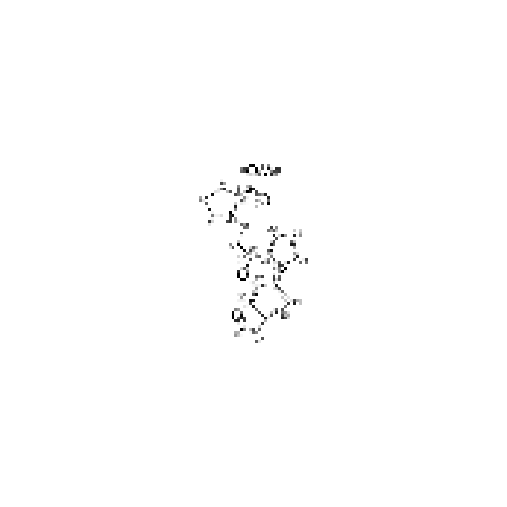 COC(=O)[C@@H]1CCCN1CC[C@H](Oc1cccc2ccoc12)c1cccs1